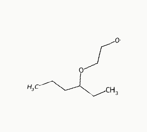 CCCC(CC)OCC[O]